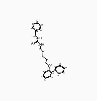 O=C(NCCCCCOc1ccccc1-c1ccccc1)NCc1cccnc1